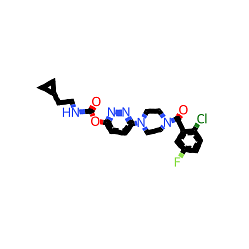 O=C(NCCC1CC1)Oc1ccc(N2CCN(C(=O)c3cc(F)ccc3Cl)CC2)nn1